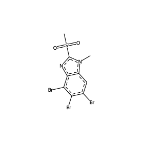 Cn1c(S(C)(=O)=O)nc2c(Br)c(Br)c(Br)cc21